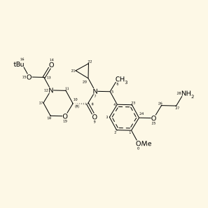 COc1ccc(C(C)N(C(=O)[C@H]2CN(C(=O)OC(C)(C)C)CCO2)C2CC2)cc1OCCN